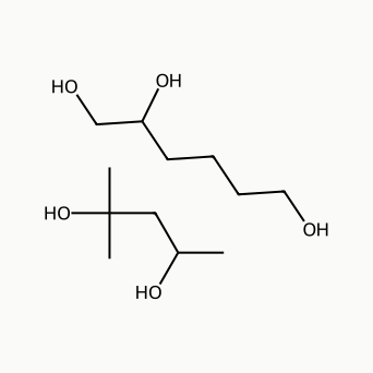 CC(O)CC(C)(C)O.OCCCCC(O)CO